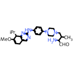 COC1=CCc2cnc(Nc3ccc(N4CCN(CC(C)C(N)C=O)CC4)cc3)nc2C1C(C)C